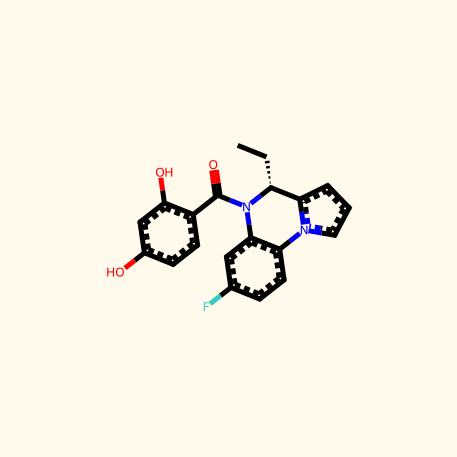 CC[C@@H]1c2cccn2-c2ccc(F)cc2N1C(=O)c1ccc(O)cc1O